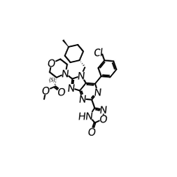 COC(=O)[C@@H]1COCCN1c1nc2nc(-c3noc(=O)[nH]3)nc(-c3cccc(Cl)c3)c2n1C[C@H]1CC[C@H](C)CC1